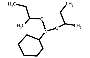 CCC(C)ON(OC(C)CC)C1CCCCC1